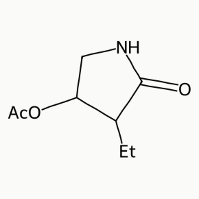 CCC1C(=O)NCC1OC(C)=O